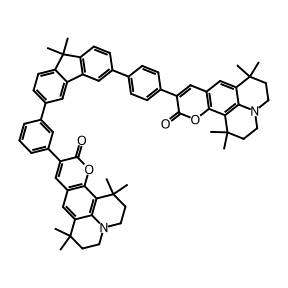 CC1(C)CCN2CCC(C)(C)c3c2c1cc1cc(-c2ccc(-c4ccc5c(c4)-c4cc(-c6cccc(-c7cc8cc9c%10c(c8oc7=O)C(C)(C)CCN%10CCC9(C)C)c6)ccc4C5(C)C)cc2)c(=O)oc31